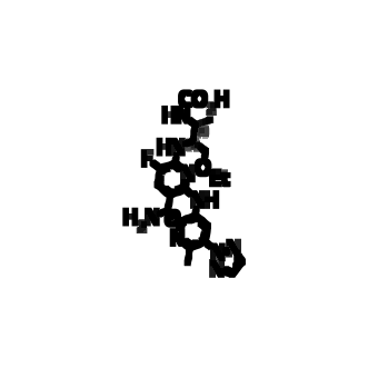 CCOC[C@@H](Nc1nc(Nc2cnc(C)c(-n3nccn3)c2)c(C(N)=O)cc1F)[C@H](C)NC(=O)O